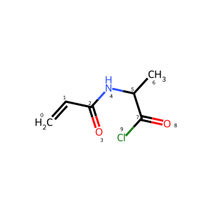 C=CC(=O)NC(C)C(=O)Cl